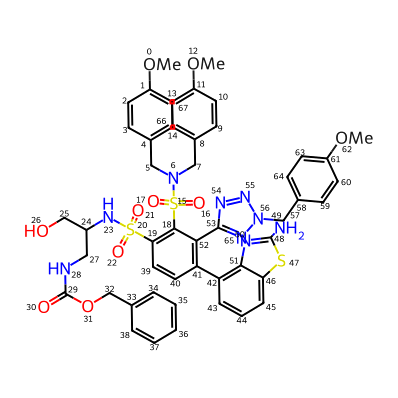 COc1ccc(CN(Cc2ccc(OC)cc2)S(=O)(=O)c2c(S(=O)(=O)NC(CO)CNC(=O)OCc3ccccc3)ccc(-c3cccc4sc(N)nc34)c2-c2nnn(Cc3ccc(OC)cc3)n2)cc1